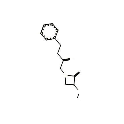 CC(C)(C)SC1CN(CC(=O)CCc2ccccc2)C1=O